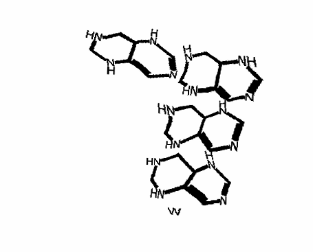 C1=NC=C2NCNCC2N1.C1=NC=C2NCNCC2N1.C1=NC=C2NCNCC2N1.C1=NC=C2NCNCC2N1.[W]